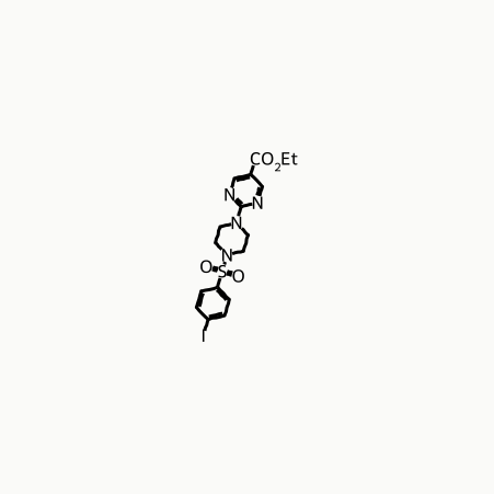 CCOC(=O)c1cnc(N2CCN(S(=O)(=O)c3ccc(I)cc3)CC2)nc1